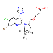 C[C@@H]1[C@@H]2C[C@@H](COCCC(=O)O)N(c3cc(-n4cncn4)c4cc(Cl)c(Br)cc4n3)[C@H]12